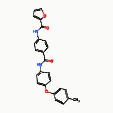 Cc1ccc(Oc2ccc(NC(=O)c3ccc(NC(=O)c4ccco4)cc3)cc2)cc1